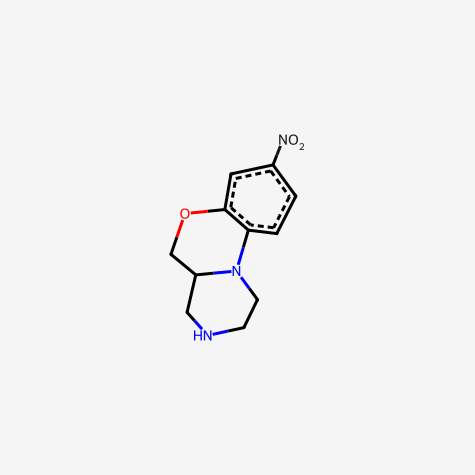 O=[N+]([O-])c1ccc2c(c1)OCC1CNCCN21